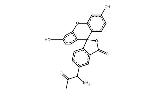 CC(=O)C(N)c1ccc2c(c1)C(=O)OC21c2ccc(O)cc2Oc2cc(O)ccc21